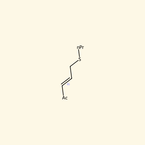 CCCSC/C=C/C(C)=O